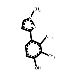 Cc1c(O)ccc(-c2ccn(C)n2)c1C